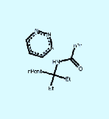 CCCCCC(CC)(CC)NC(=O)CCC.c1cnnnc1